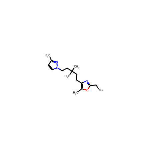 Cc1oc(CC(C)(C)C)nc1CCC(C)(C)CCn1ccc(C(F)(F)F)n1